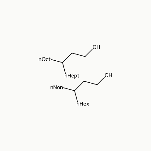 CCCCCCCCC(CCO)CCCCCCC.CCCCCCCCCC(CCO)CCCCCC